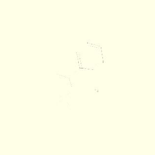 CC(OP(=O)([O-])[O-])c1ccccc1.[Ni+2]